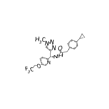 Cn1cc([C@@H](NC(=O)Cc2ccc(C3CC3)cc2)c2ccc(OCC(F)(F)F)cn2)nn1